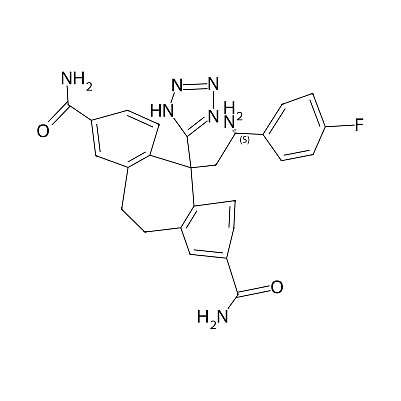 NC(=O)c1ccc2c(c1)CCc1cc(C(N)=O)ccc1C2(C[C@H](N)c1ccc(F)cc1)c1nnn[nH]1